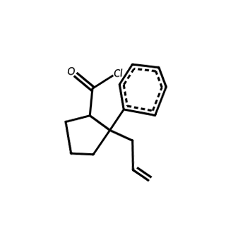 C=CCC1(c2ccccc2)CCCC1C(=O)Cl